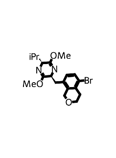 COC1=N[C@H](C(C)C)C(OC)=N[C@H]1Cc1ccc(Br)c2c1COCC2